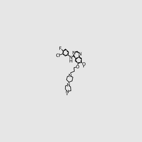 COc1cc2ncnc(Nc3ccc(F)c(Cl)c3)c2cc1OCCCN1CCC(N2CCN(C)CC2)CC1